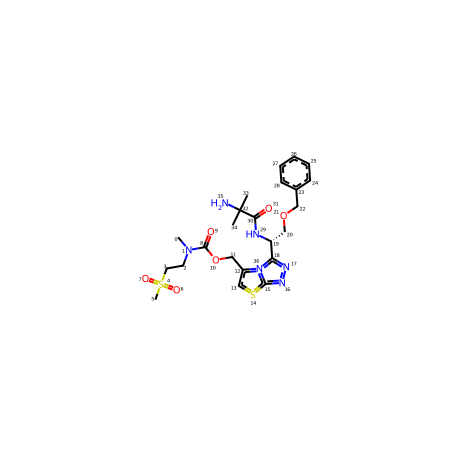 CN(CCS(C)(=O)=O)C(=O)OCc1csc2nnc([C@@H](COCc3ccccc3)NC(=O)C(C)(C)N)n12